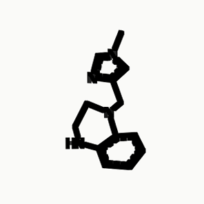 Cn1cnc(CN2CCNc3ccccc32)c1